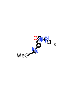 COCC=Cc1cnc(-c2cccc(Cc3nn(-c4cnn(C)c4)ccc3=O)c2)nc1